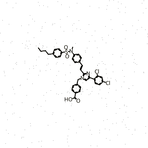 CCCCc1ccc(S(=O)(=O)N(C)c2ccc(C=Cc3nc(-c4ccc(Cl)cc4Cl)cn3Cc3ccc(C(=O)O)cc3)cc2)cc1